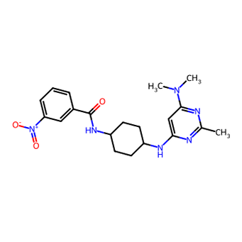 Cc1nc(NC2CCC(NC(=O)c3cccc([N+](=O)[O-])c3)CC2)cc(N(C)C)n1